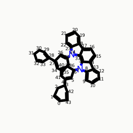 C1=CCC(C2=CC(n3c4ccccc4c4ccc5c6ccccc6n(C6=CC(C7=CCCC=C7)=CCC6)c5c43)CC=C2)C=C1